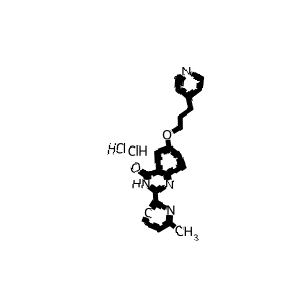 Cc1cccc(-c2nc3ccc(OCCCc4ccncc4)cc3c(=O)[nH]2)n1.Cl.Cl